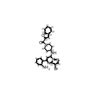 Nc1ccccc1-c1cc(NC2CCN(C(=O)c3cc4ccccc4o3)CC2)n2ncc(Br)c2n1